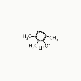 Cc1ccc(C)c([O-])c1C.[Li+]